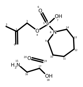 C=C(C)COP(=O)(O)N1CCCCCC1.NCCO.[C]=O